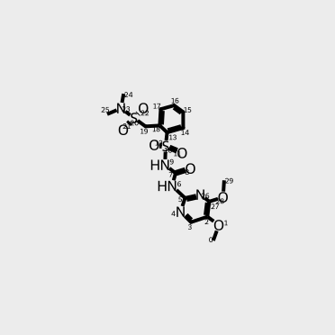 COc1cnc(NC(=O)NS(=O)(=O)c2ccccc2CS(=O)(=O)N(C)C)nc1OC